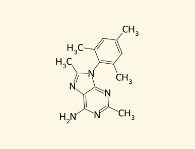 Cc1cc(C)c(-n2c(C)nc3c(N)nc(C)nc32)c(C)c1